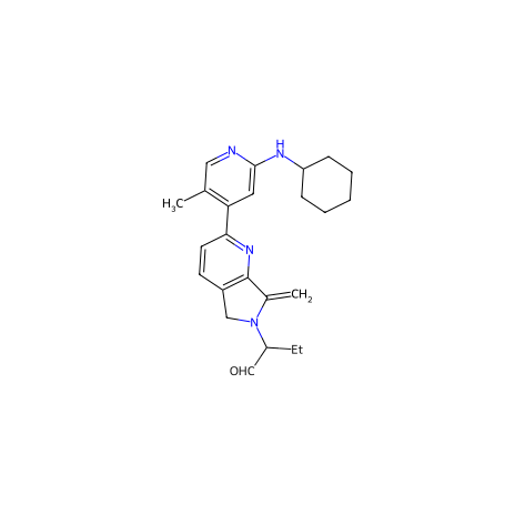 C=C1c2nc(-c3cc(NC4CCCCC4)ncc3C)ccc2CN1C(C=O)CC